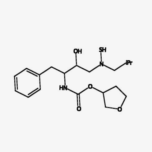 CC(C)CN(S)CC(O)C(Cc1ccccc1)NC(=O)OC1CCOC1